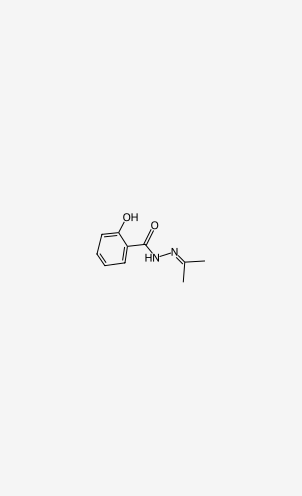 CC(C)=NNC(=O)c1ccccc1O